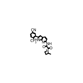 CC1CCN1C(=O)C(=O)Nc1ccc2cc(-c3cc(C#N)ccc3C(F)(F)F)[nH]c2n1